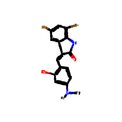 CCN(CC)c1ccc(C=C2C(=O)Nc3c(Br)cc(Br)cc32)c(O)c1